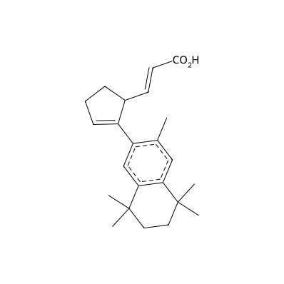 Cc1cc2c(cc1C1=CCCC1C=CC(=O)O)C(C)(C)CCC2(C)C